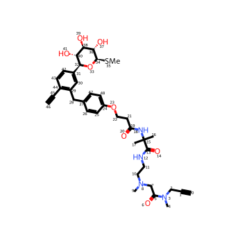 C#CCN(C)C(=O)CN(C)CCNC(=O)C(C)(C)NC(=O)CCOc1ccc(Cc2cc([C@@H]3O[C@H](SC)[C@@H](O)[C@H](O)[C@H]3O)ccc2C#C)cc1